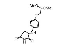 COC(COc1ccc(N[C@H]2CCC(=O)NC2=O)cc1)OC